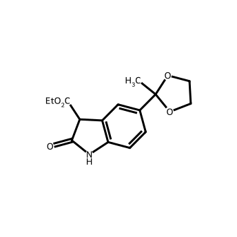 CCOC(=O)C1C(=O)Nc2ccc(C3(C)OCCO3)cc21